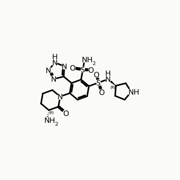 N[C@@H]1CCCN(c2ccc(S(=O)(=O)N[C@@H]3CCNC3)c(S(N)(=O)=O)c2-c2nn[nH]n2)C1=O